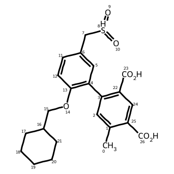 Cc1cc(-c2cc(C[SH](=O)=O)ccc2OCC2CCCCC2)c(C(=O)O)cc1C(=O)O